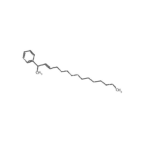 CCCCCCCCCCCCC=CC(C)c1ccccc1